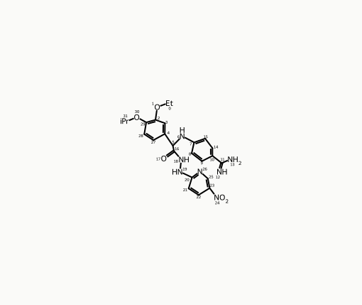 CCOc1cc(C(Nc2ccc(C(=N)N)cc2)C(=O)NNc2ccc([N+](=O)[O-])cn2)ccc1OC(C)C